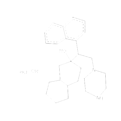 Cl.Cl.OC1(C(CN2CCNCC2)c2cccc3ccccc23)CCC2CCCCC2C1